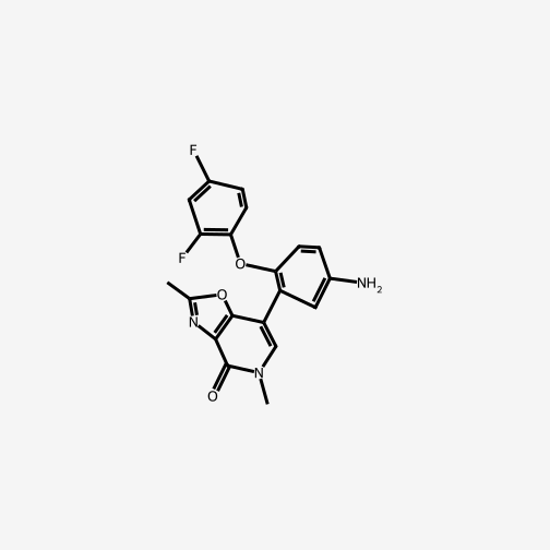 Cc1nc2c(=O)n(C)cc(-c3cc(N)ccc3Oc3ccc(F)cc3F)c2o1